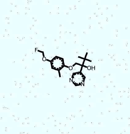 Cc1cc(OCF)ccc1OCC(O)(c1cncnc1)C(C)(C)C